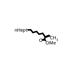 CC=C(CCCCCCCCCCCC)C(=O)OC